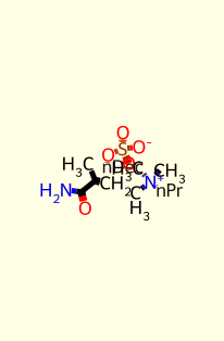 C=C(C)C(N)=O.CCCCCCCCCCOS(=O)(=O)[O-].CCC[N+](C)(C)C